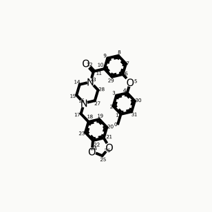 Cc1ccc(Oc2cccc(C(=O)N3CCN(Cc4ccc5c(c4)OCO5)CC3)c2)cc1